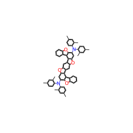 Cc1ccc(N(c2ccc(C)cc2C)c2cc3oc4cc5c(cc4c3c3c2oc2ccccc23)oc2cc(N(c3ccc(C)cc3C)c3ccc(C)cc3C)c3oc4ccccc4c3c25)c(C)c1